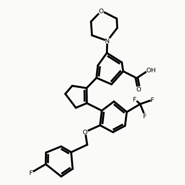 O=C(O)c1cc(C2=C(c3cc(C(F)(F)F)ccc3OCc3ccc(F)cc3)CCC2)cc(N2CCOCC2)c1